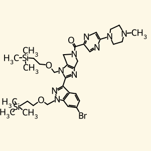 CN1CCN(c2cnc(C(=O)N3Cc4nc(-c5nn(COCC[Si](C)(C)C)c6cc(Br)ccc56)n(COCC[Si](C)(C)C)c4C3)cn2)CC1